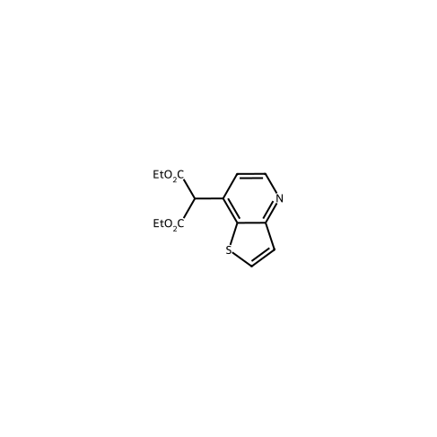 CCOC(=O)C(C(=O)OCC)c1ccnc2ccsc12